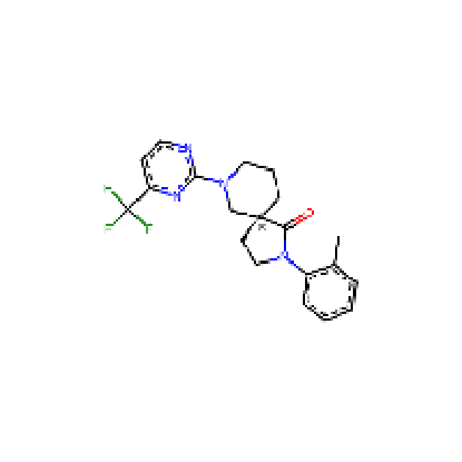 Cc1ccccc1N1CC[C@@]2(CCCN(c3nccc(C(F)(F)F)n3)C2)C1=O